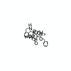 CC1(C)[C@H](C(=O)OCc2ccccc2)N2C(=O)C[C@H]2[S@@]1(CO)C(=O)C1NCCc2ccccc21